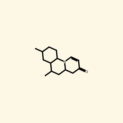 CC1CCC2C(C1)C(C)CC1CC(=O)C=CN12